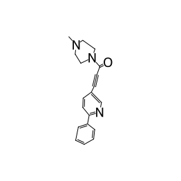 CN1CCN(C(=O)C#Cc2ccc(-c3ccccc3)nc2)CC1